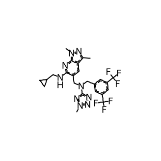 Cc1nn(C)c2nc(NCC3CC3)c(CN(Cc3cc(C(F)(F)F)cc(C(F)(F)F)c3)c3nnn(C)n3)cc12